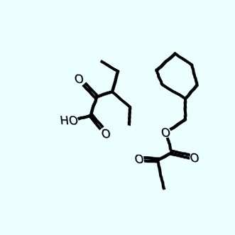 CC(=O)C(=O)OCC1CCCCC1.CCC(CC)C(=O)C(=O)O